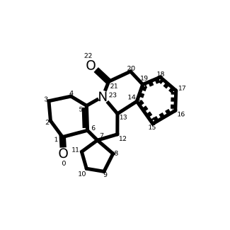 O=C1CCCC2=C1C1(CCCC1)CC1c3ccccc3CC(=O)N21